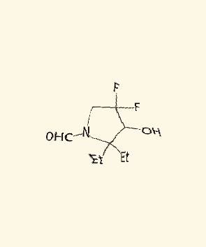 CCC1(CC)C(O)C(F)(F)CN1C=O